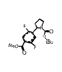 COC(=O)c1cc(F)c(C2CCCN2C(=O)OC(C)(C)C)cc1F